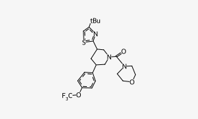 CC(C)(C)c1csc(C2CC(c3ccc(OC(F)(F)F)cc3)CN(C(=O)N3CCOCC3)C2)n1